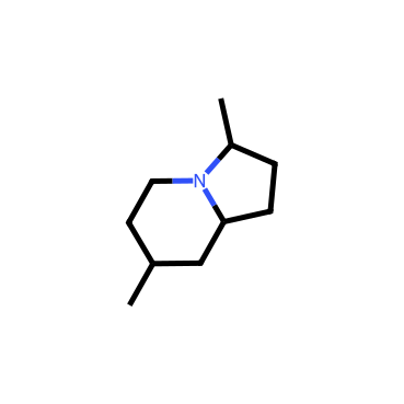 CC1CCN2C(C)CCC2C1